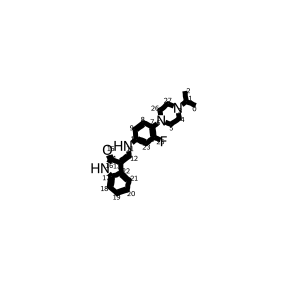 CC(C)N1CCN(c2ccc(NC=C3C(=O)Nc4ccccc43)cc2F)CC1